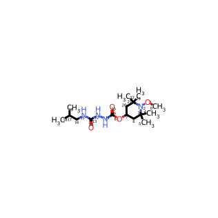 CON1C(C)(C)CC(OC(=O)NNC(=O)NCC(C)C)CC1(C)C